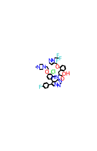 Cc1c(-c2c(-c3ccc(F)cc3)cn3ncnc(NC(Cc4ccccc4OCc4ccnn4CC(F)(F)F)C(=O)O)c23)ccc(OCCN2CCN(C)CC2)c1Cl